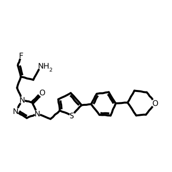 NC/C(=C\F)Cn1ncn(Cc2ccc(-c3ccc(C4CCOCC4)cc3)s2)c1=O